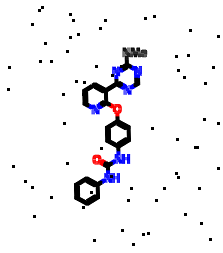 CNc1ncnc(-c2cccnc2Oc2ccc(NC(=O)Nc3ccccc3)cc2)n1